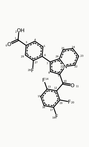 O=C(O)c1ccc(-c2cc(C(=O)c3c(F)ccc(F)c3F)n3ccccc23)c(F)c1